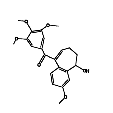 COc1ccc2c(c1)C(O)CCC=C2C(=O)c1cc(OC)c(OC)c(OC)c1